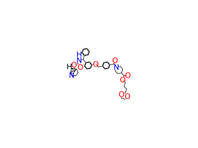 O=C(NC(c1ccccc1)c1cccc(OCc2ccc(C(=O)N3CCC(C(=O)OCCCC4OCCO4)CC3)cc2)c1)O[C@H]1CN2CCC1CC2